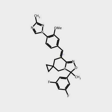 COc1cc(/C=C2\CC3(CC3)CN3C2=NOC3(C)c2cc(F)cc(F)c2)ccc1-n1cnc(C)n1